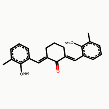 COc1c(C)cccc1/C=C1\CCC/C(=C\c2cccc(C)c2OC)C1=O